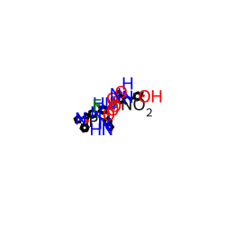 CC(C)c1ccccc1[C@@H]1CCCN1C1CC2(CCN(c3cc(Oc4cnc5[nH]ccc5c4)c(C(=O)NS(=O)(=O)c4cc([N+](=O)[O-])c(NCC5CCC(C)(O)CC5)c5ocnc45)cc3F)CC2)C1